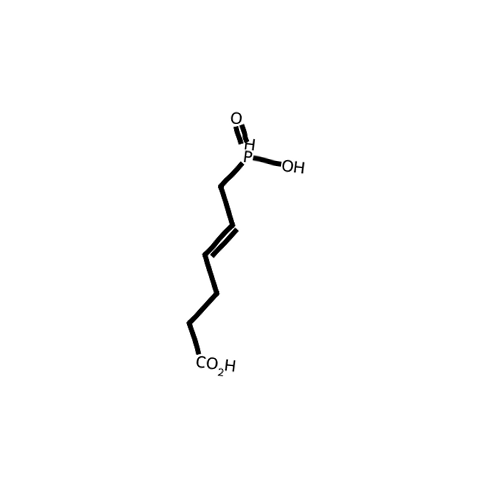 O=C(O)CCC=CC[PH](=O)O